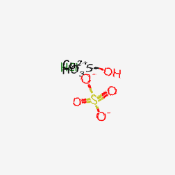 Cl.O=S(=O)(O)O.O=S(=O)([O-])[O-].[Cu+2]